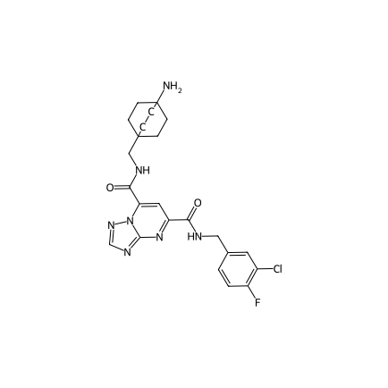 NC12CCC(CNC(=O)c3cc(C(=O)NCc4ccc(F)c(Cl)c4)nc4ncnn34)(CC1)CC2